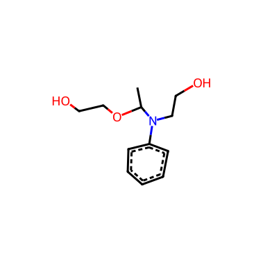 CC(OCCO)N(CCO)c1ccccc1